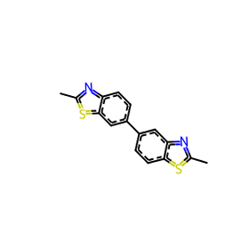 Cc1nc2cc(-c3ccc4nc(C)sc4c3)ccc2s1